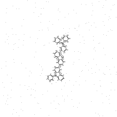 c1ccc(-n2c3ccccc3c3cc(-c4ccc5oc6c(-c7cccc(-n8c9ccccc9c9ccccc98)c7)cccc6c5c4)ccc32)cc1